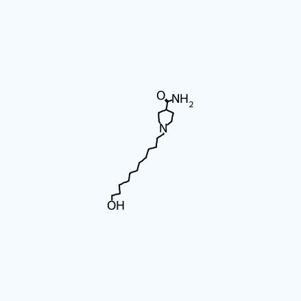 NC(=O)C1CCN(CCCCCCCCCCCCO)CC1